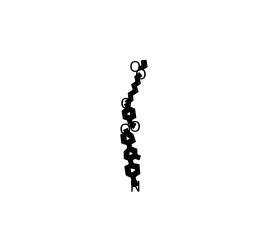 C=CC(=O)OCCCCCCOc1ccc(C(=O)Oc2ccc(-c3ccc(-c4ccc(C#N)cc4)c(C)c3)cc2)cc1